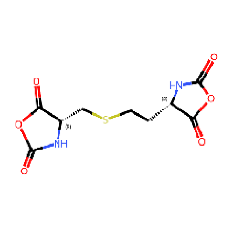 O=C1N[C@@H](CCSC[C@@H]2NC(=O)OC2=O)C(=O)O1